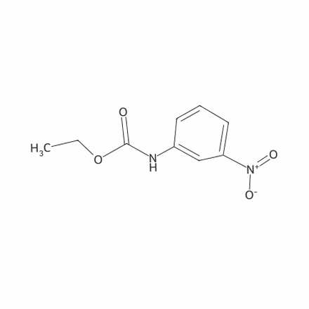 CCOC(=O)Nc1cccc([N+](=O)[O-])c1